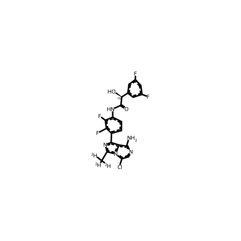 [2H]C([2H])([2H])c1nc(-c2ccc(NC(=O)[C@@H](O)c3cc(F)cc(F)c3)c(F)c2F)c2c(N)ncc(Cl)n12